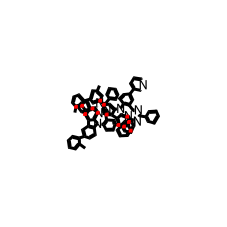 Cc1cc(-c2ccc3c4ccccc4n(-c4ccc(-c5cccnc5)cc4-c4nc(-c5ccccc5)nc(-c5ccccc5)n4)c3c2)cc(-c2cccc(C)c2-c2ccc3c(c2)c2cc(-c4ccccc4C)ccc2n3-c2ccc(-c3cccnc3)cc2-c2nc(-c3ccccc3)nc(-c3ccccc3)n2)c1